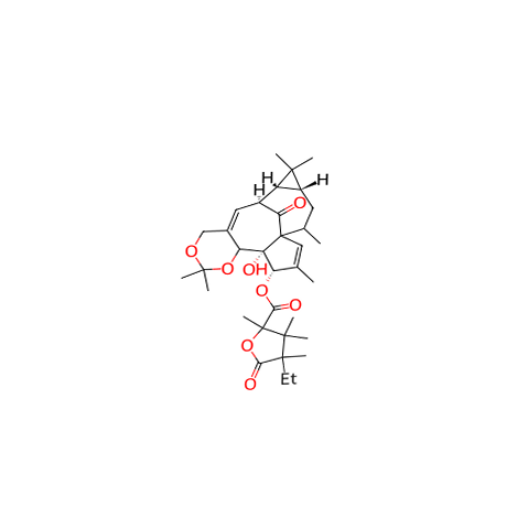 CCC1(C)C(=O)OC(C)(C(=O)O[C@H]2C(C)=CC34C(=O)[C@@H](C=C5COC(C)(C)OC5[C@]23O)[C@H]2[C@@H](CC4C)C2(C)C)C1(C)C